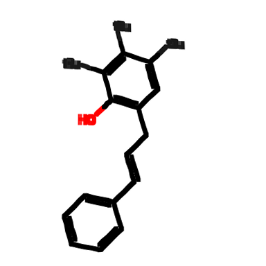 CC(C)(C)c1cc(CC=Cc2ccccc2)c(O)c(C(C)(C)C)c1C(C)(C)C